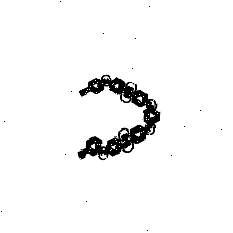 C#Cc1ccc(Oc2ccc(S(=O)(=O)c3ccc(Oc4ccc(Oc5ccc(S(=O)(=O)c6ccc(Oc7cccc(C#C)c7)cc6)cc5)cc4)cc3)cc2)cc1